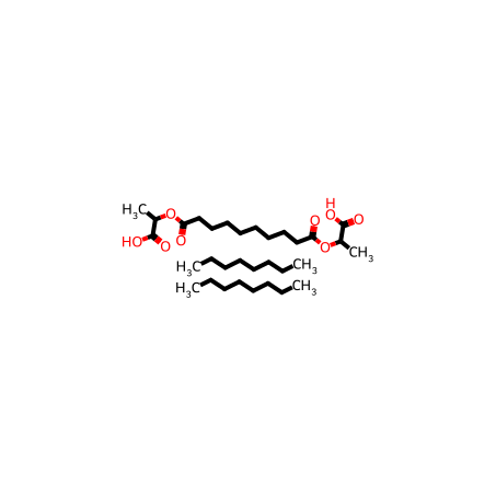 CC(OC(=O)CCCCCCCCC(=O)OC(C)C(=O)O)C(=O)O.CCCCCCCC.CCCCCCCC